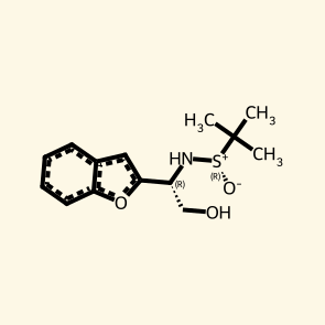 CC(C)(C)[S@+]([O-])N[C@H](CO)c1cc2ccccc2o1